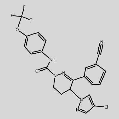 N#Cc1cccc(C2=NN(C(=O)Nc3ccc(OC(F)(F)F)cc3)CCC2n2cc(Cl)cn2)c1